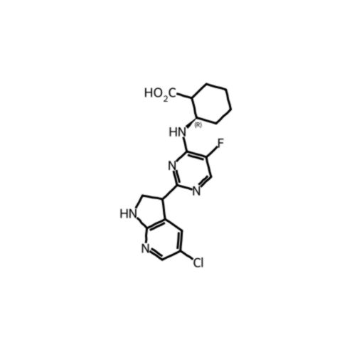 O=C(O)C1CCCC[C@H]1Nc1nc(C2CNc3ncc(Cl)cc32)ncc1F